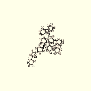 c1ccc(-c2ccc(-c3ccc(N(c4ccc(-c5cccc6c5sc5ccccc56)cc4)c4cccc(C5(c6ccccc6)c6ccccc6-c6ccccc65)c4)cc3)s2)cc1